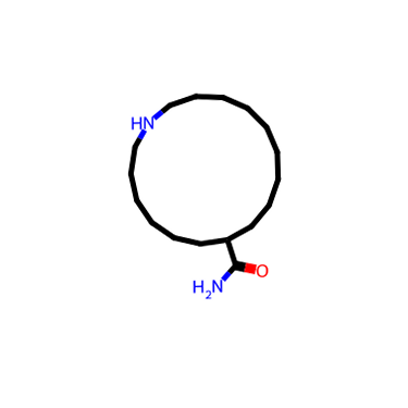 NC(=O)C1CCCCCCCCCNCCCCCC1